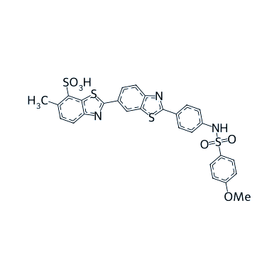 COc1ccc(S(=O)(=O)Nc2ccc(-c3nc4ccc(-c5nc6ccc(C)c(S(=O)(=O)O)c6s5)cc4s3)cc2)cc1